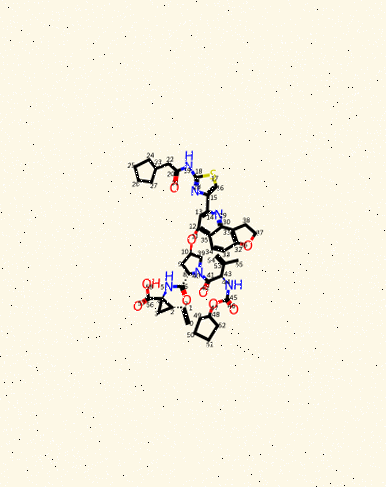 C=C[C@@H]1C[C@]1(NC(=O)[C@@H]1C[C@@H](Oc2cc(-c3csc(NC(=O)CC4CCCC4)n3)nc3c4c(ccc23)OCC4)CN1C(=O)[C@@H](NC(=O)OC1CCCC1)C(=C)C)C(=O)O